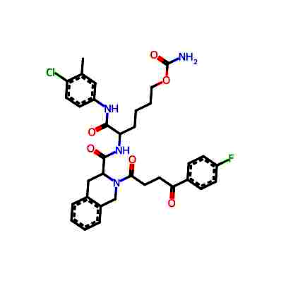 Cc1cc(NC(=O)C(CCCCOC(N)=O)NC(=O)C2Cc3ccccc3CN2C(=O)CCC(=O)c2ccc(F)cc2)ccc1Cl